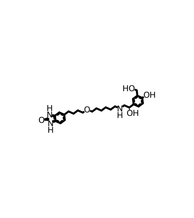 O=c1[nH]c2ccc(CCCCOCCCCCCNC[C@@H](O)c3ccc(O)c(CO)c3)cc2[nH]1